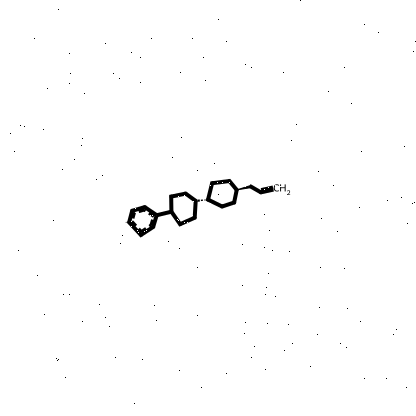 C=CC[C@H]1CC[C@H](C2CCC(c3cc[c]cc3)CC2)CC1